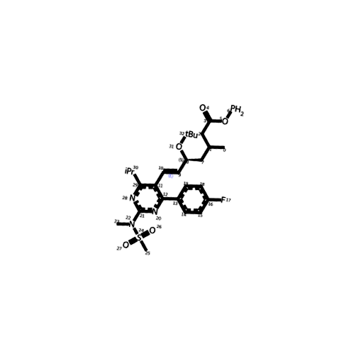 CC(CC(=O)OP)C[C@@H](/C=C/c1c(-c2ccc(F)cc2)nc(N(C)S(C)(=O)=O)nc1C(C)C)OC(C)(C)C